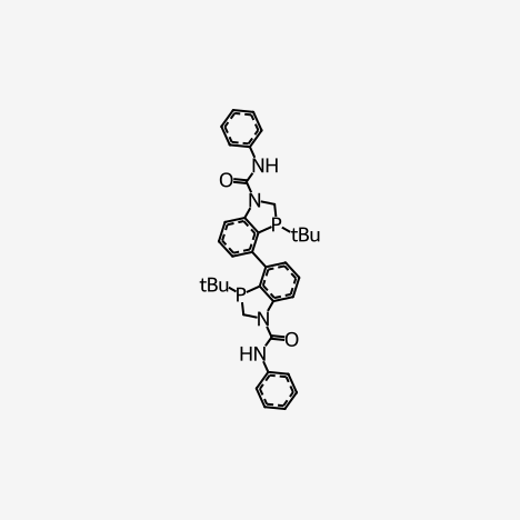 CC(C)(C)P1CN(C(=O)Nc2ccccc2)c2cccc(-c3cccc4c3P(C(C)(C)C)CN4C(=O)Nc3ccccc3)c21